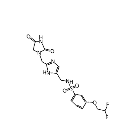 O=C1CN(Cc2ncc(CNS(=O)(=O)c3cccc(OCC(F)F)c3)[nH]2)C(=O)N1